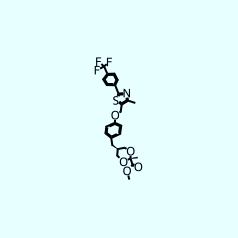 COC(=O)[C@]1(C)OC[C@@H](Cc2ccc(OCc3sc(-c4ccc(C(F)(F)F)cc4)nc3C)cc2)CO1